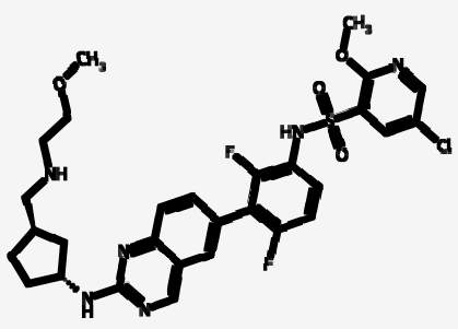 COCCNC[C@@H]1CC[C@@H](Nc2ncc3cc(-c4c(F)ccc(NS(=O)(=O)c5cc(Cl)cnc5OC)c4F)ccc3n2)C1